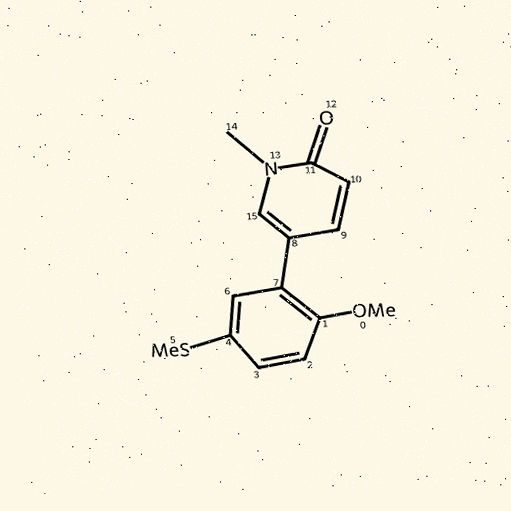 COc1ccc(SC)cc1-c1ccc(=O)n(C)c1